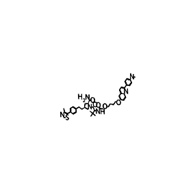 Cc1ncsc1-c1ccc(CC[C@H]2C[C@@H](C(N)=O)N(C(=O)[C@@H](NC(=O)COCCCCOc3ccc4nc(-c5ccc(N(C)C)cc5)ccc4c3)C(C)(C)C)C2)cc1